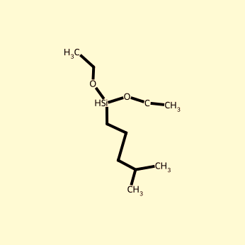 CCO[SiH](CCCC(C)C)OCC